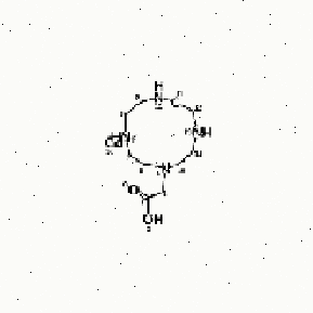 O=C(O)CN1CCNCCNCCNCC1.[Gd+3]